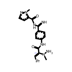 CC(C)/C=C(/C(=O)Nc1ccc(C(=N)NC(=O)c2ccnn2C)cc1)N(C)N